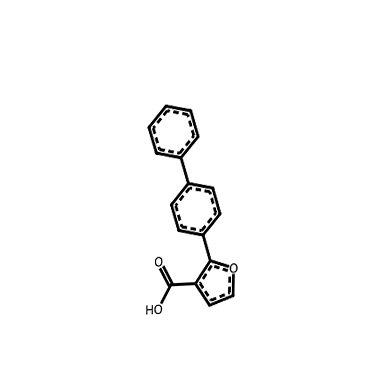 O=C(O)c1ccoc1-c1ccc(-c2ccccc2)cc1